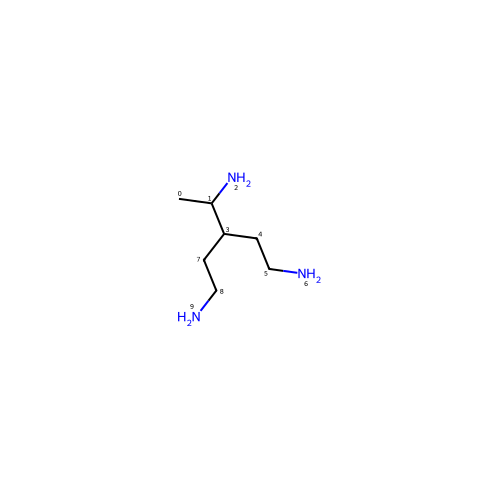 CC(N)C(CCN)CCN